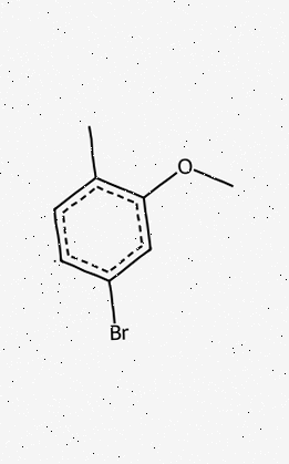 COc1cc(Br)[c]cc1C